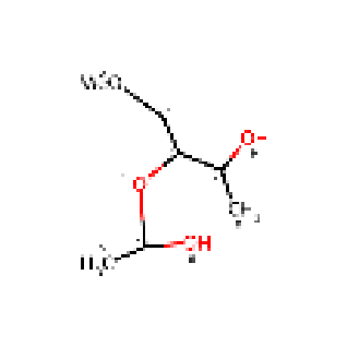 COCC(OC(C)O)C(C)O